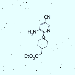 CCOC(=O)CC1CCN(c2ncc(C#N)cc2N)CC1